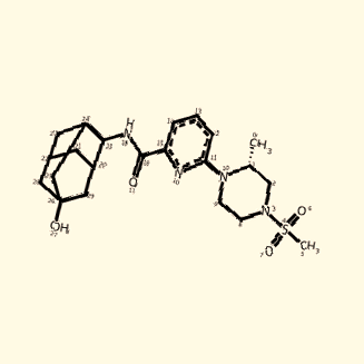 C[C@@H]1CN(S(C)(=O)=O)CCN1c1cccc(C(=O)NC2C3CC4CC2CC(O)(C4)C3)n1